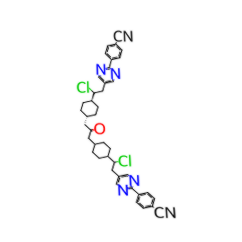 N#Cc1ccc(-c2ncc(CC(Cl)C3CCC(CC(=O)C[C@H]4CC[C@H](C(Cl)Cc5cnc(-c6ccc(C#N)cc6)nc5)CC4)CC3)cn2)cc1